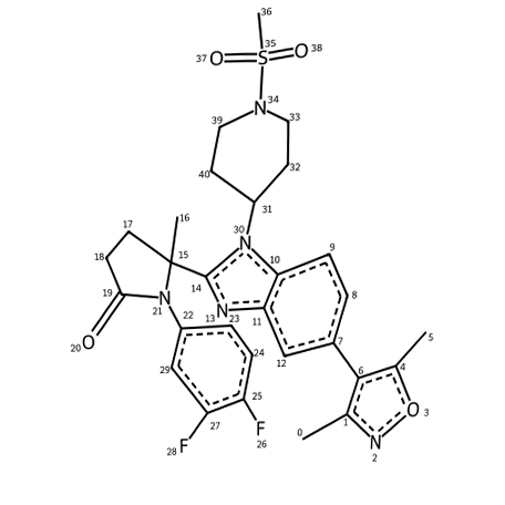 Cc1noc(C)c1-c1ccc2c(c1)nc(C1(C)CCC(=O)N1c1ccc(F)c(F)c1)n2C1CCN(S(C)(=O)=O)CC1